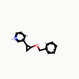 c1ccc(COC2CC2c2cccnc2)cc1